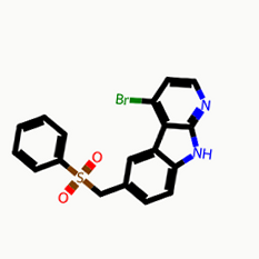 O=S(=O)(Cc1ccc2[nH]c3nccc(Br)c3c2c1)c1ccccc1